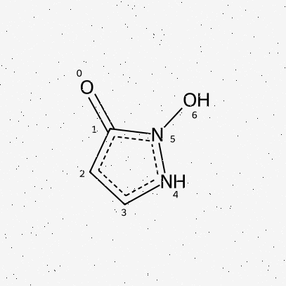 O=c1cc[nH]n1O